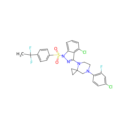 CC(F)(F)c1ccc(S(=O)(=O)n2nc(N3CCN(c4ccc(Cl)cc4F)CC34CC4)c3c(Cl)cccc32)cc1